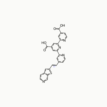 O=C(O)c1ccnc(-c2cc(C(=O)O)cc(-c3cc(/C=C/c4cc5ccncc5s4)ccn3)n2)c1